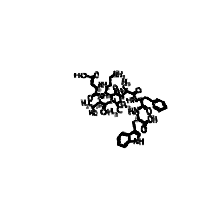 CC(C)N(C(=O)[C@@H](NC(=O)[C@@H](N)CC(=O)O)[C@@H](C)O)[C@@H](CCCCN)C(=O)N[C@@H](C)C(=O)N[C@@H](Cc1ccccc1)C(=O)N[C@@H](Cc1c[nH]c2ccccc12)C(=O)O